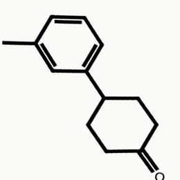 Cc1cccc(C2CCC(=O)CC2)c1